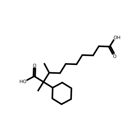 CC(CCCCCCC(=O)O)C(C)(C(=O)O)C1CCCCC1